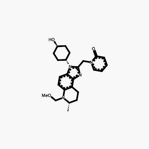 COCN1c2ccc3c(nc(Cn4ccccc4=O)n3[C@H]3CC[C@H](O)CC3)c2CC[C@@H]1C